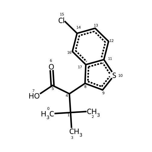 CC(C)(C)C(C(=O)O)c1csc2ccc(Cl)cc12